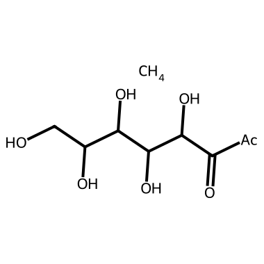 C.CC(=O)C(=O)C(O)C(O)C(O)C(O)CO